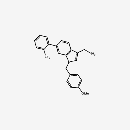 COc1ccc(Cn2cc(CN)c3ccc(-c4ccccc4C(F)(F)F)cc32)cc1